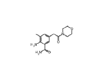 Cc1cc(CC(=O)N2CCOCC2)cc(C(N)=O)c1N